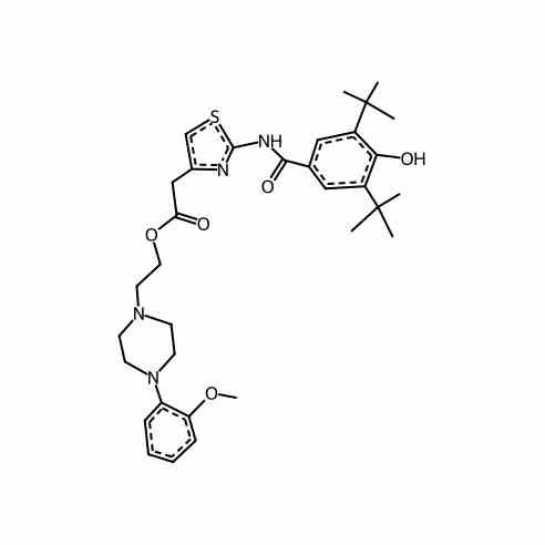 COc1ccccc1N1CCN(CCOC(=O)Cc2csc(NC(=O)c3cc(C(C)(C)C)c(O)c(C(C)(C)C)c3)n2)CC1